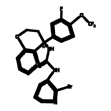 O=C(Nc1cccnc1Br)N[C@]1(c2ccc(OC(F)(F)F)c(F)c2)CCOc2cccnc21